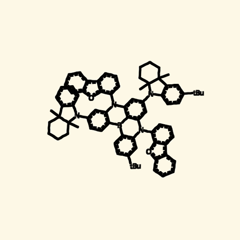 CC(C)(C)c1ccc2c(c1)N(c1cccc3c1oc1ccccc13)c1cc(N3c4ccc(C(C)(C)C)cc4C4(C)CCCCC34C)cc3c1B2c1ccc(N2c4ccccc4C4(C)CCCCC24C)cc1N3c1cccc2c1oc1ccccc12